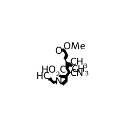 C#CCn1ccc([C@H](C#N)[C@]2(C(=O)O)[C@@H](C=CC(=O)OC)C2(C)C)c1